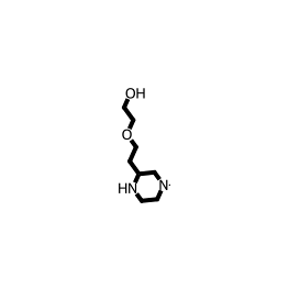 OCCOCCC1C[N]CCN1